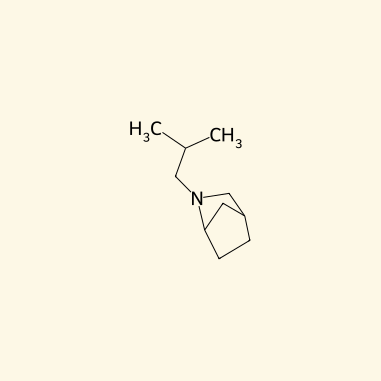 CC(C)CN1CC2CCC1C2